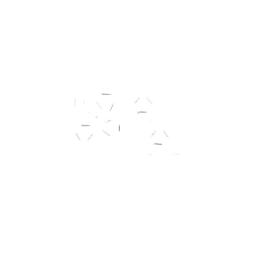 CC(C)(C)c1cc(C(C)(C)c2cccc(C(C)(C)c3ccc(O)c(C4(C(C)(C)C)c5ccccc5-c5ccccc54)c3)c2)ccc1O